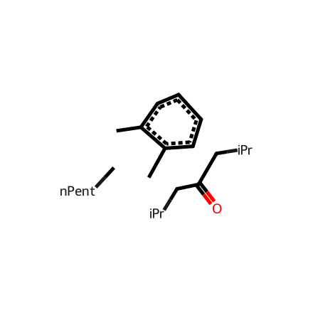 CC(C)CC(=O)CC(C)C.CCCCCC.Cc1ccccc1C